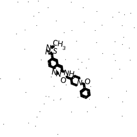 Cc1nnc(-c2ccc3nnc(NC(=O)C4CCN(C(=O)c5ccccc5)CC4)cc3c2)s1